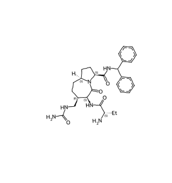 CC[C@H](N)C(=O)N[C@@H]1C(=O)N2[C@@H](CC[C@@H]1CNC(N)=O)CC[C@H]2C(=O)NC(c1ccccc1)c1ccccc1